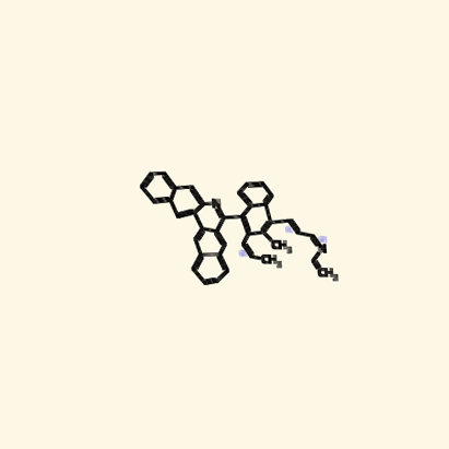 C=C/N=C\C=C\c1c(C)c(/C=C\C)c(-c2nc3cc4ccccc4cc3c3cc4ccccc4cc23)c2ccccc12